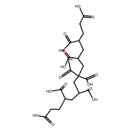 O=C(O)CCC(CC(CC(CC(CC(CCC(=O)O)C(=O)O)C(=O)O)(C(=O)O)C(=O)O)C(=O)O)C(=O)O